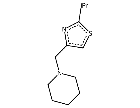 CC(C)c1nc(CN2CCCCC2)cs1